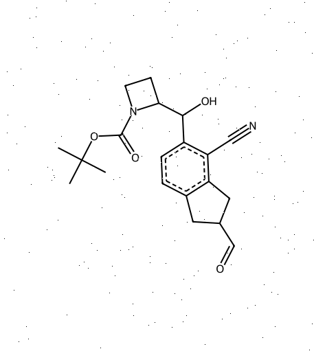 CC(C)(C)OC(=O)N1CCC1C(O)c1ccc2c(c1C#N)CC(C=O)C2